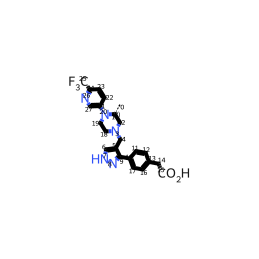 C[C@@H]1CN(Cc2c[nH]nc2-c2ccc(CC(=O)O)cc2)CCN1c1ccc(C(F)(F)F)nc1